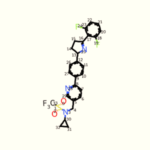 O=S(=O)(N(Cc1ccc(-c2ccc(C3CCC(c4c(F)cccc4F)=N3)cc2)nc1)C1CC1)C(F)(F)F